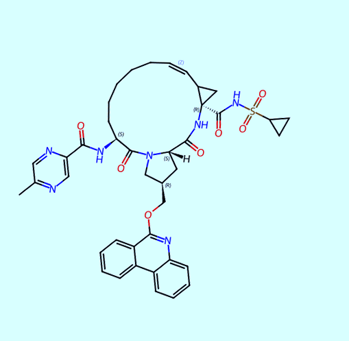 Cc1cnc(C(=O)N[C@H]2CCCCC/C=C\C3C[C@@]3(C(=O)NS(=O)(=O)C3CC3)NC(=O)[C@@H]3C[C@@H](COc4nc5ccccc5c5ccccc45)CN3C2=O)cn1